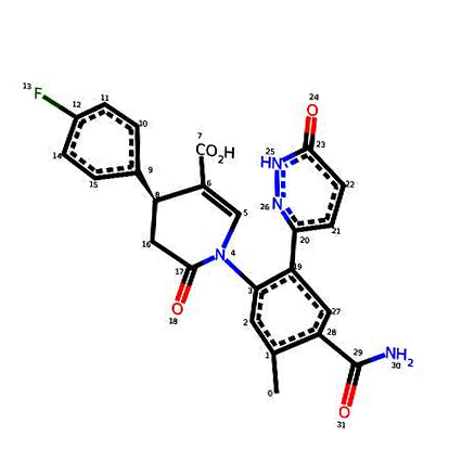 Cc1cc(N2C=C(C(=O)O)[C@H](c3ccc(F)cc3)CC2=O)c(-c2ccc(=O)[nH]n2)cc1C(N)=O